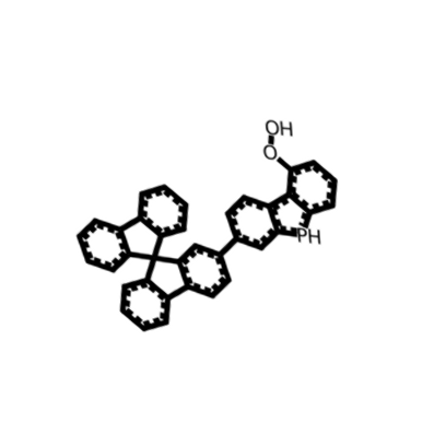 OOc1cccc2[pH]c3cc(-c4ccc5c(c4)C4(c6ccccc6-c6ccccc64)c4ccccc4-5)ccc3c12